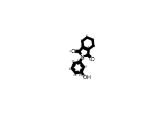 O=C1C2=C(CCCC2)C(=O)N1c1cccc(O)c1